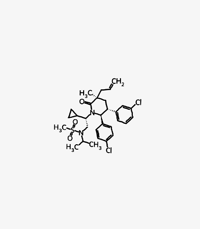 C=CC[C@@]1(C)C[C@H](c2cccc(Cl)c2)[C@@H](c2ccc(Cl)cc2)N([C@H](CN(C(C)C)S(C)(=O)=O)C2CC2)C1=O